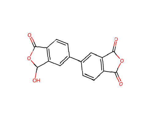 O=C1OC(=O)c2cc(-c3ccc4c(c3)C(O)OC4=O)ccc21